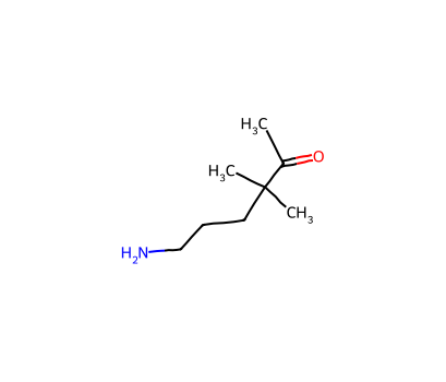 CC(=O)C(C)(C)CCCN